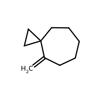 C=C1CCCCCC12CC2